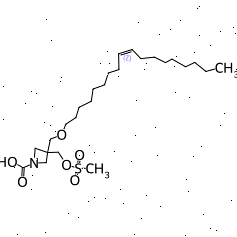 CCCCCCCC/C=C\CCCCCCCCOCC1(COS(C)(=O)=O)CN(C(=O)O)C1